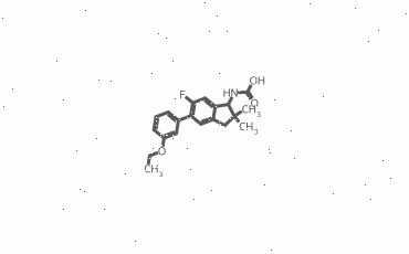 CCOc1cccc(-c2cc3c(cc2F)C(NC(=O)O)C(C)(C)C3)c1